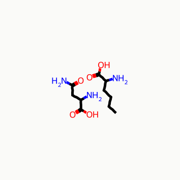 CCCCC(N)C(=O)O.NC(=O)CC(N)C(=O)O